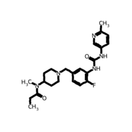 CCC(=O)N(C)C1CCN(Cc2ccc(F)c(NC(=O)Nc3ccc(C)nc3)c2)CC1